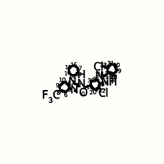 O=C(Nc1nc2cc(C(F)(F)F)ccc2n1C1CCCCC1)c1cc(Cl)c2[nH]c(-c3c(F)cccc3Cl)nc2c1